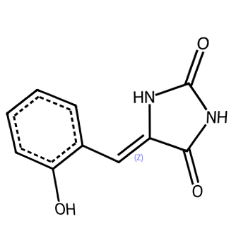 O=C1NC(=O)/C(=C/c2ccccc2O)N1